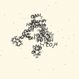 CC(NCCCC[C@H](NC(=O)[C@@H]1CCCN1C(=O)CNC(=O)[C@H](CC(C)C)NC(=O)[C@H](C)NC(=O)CNC(=O)[C@H](CC(C)C)NC(=O)[C@H](CCC(N)=O)NC(=O)CNC(=O)[C@@H]1C[C@@H](O)CN1C(=O)OCC1c2ccccc2-c2ccccc21)C(=O)O)=C1C(=O)CC(C)(C)CC1=O